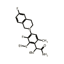 CCSc1c(F)c(N2CCc3cc(F)ccc3C2)cc(C)c1C(C(N)=O)C(C)(C)C